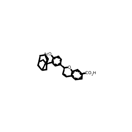 CC(=O)Oc1ccc(C2C=Cc3ccc(C(=O)O)cc3O2)cc1C12CC3CC(CC(C3)C1)C2